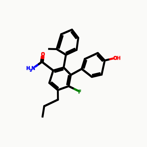 CCCc1cc(C(N)=O)c(-c2ccccc2C)c(-c2ccc(O)cc2)c1F